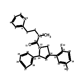 CN(CCc1ccccn1)C(=O)N1CC(c2cc(F)ccc2F)=CC1c1ccccc1